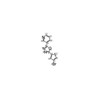 Brc1csc(-c2nnc(-c3cccnc3)o2)c1